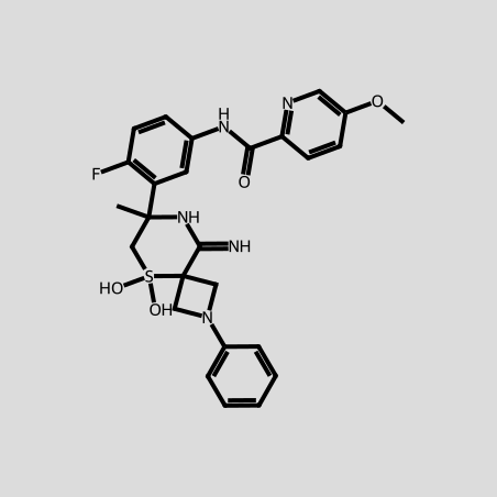 COc1ccc(C(=O)Nc2ccc(F)c(C3(C)CS(O)(O)C4(CN(c5ccccc5)C4)C(=N)N3)c2)nc1